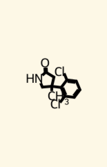 CC1(c2c(Cl)cccc2Cl)CNC(=O)C1